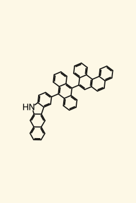 c1ccc2cc3c(cc2c1)[nH]c1ccc(-c2c4ccccc4c(-c4cc5ccc6ccccc6c5c5ccccc45)c4ccccc24)cc13